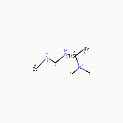 CCNCN[SiH](C(C)C)N(C)C